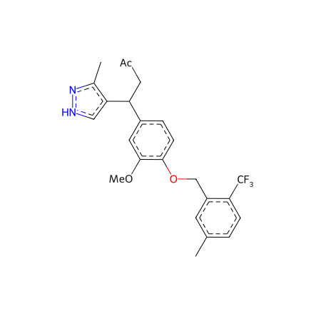 COc1cc(C(CC(C)=O)c2c[nH]nc2C)ccc1OCc1cc(C)ccc1C(F)(F)F